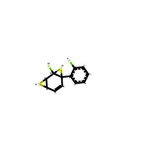 Fc1ccccc1C12C=CC3SC3C1(F)S2